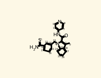 Cc1c(C(=O)Nc2ccncc2)n(Cc2cccc(C(N)=S)c2)c2ccccc12